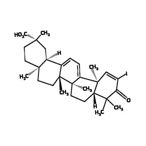 CC1(C)C(=O)C(I)=C[C@]2(C)C3=CC=C4[C@@H]5C[C@@](C)(C(=O)O)CC[C@]5(C)CC[C@@]4(C)[C@]3(C)CC[C@@H]12